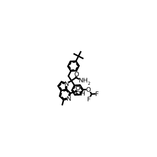 Cc1cc2ccn(C(Cc3ccc(C(C)(C)C)cc3)(C(N)=O)c3cccc(OC(F)F)c3)c2c(C(=O)O)n1